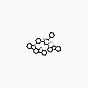 c1ccc(C2NC(c3cccc(-n4c5ccccc5c5ccc6c7ccccc7oc6c54)c3)=NC(c3cccc4c3sc3ccccc34)N2)cc1